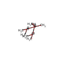 CCCCCCCCCCN(C(=O)CCCNC)C(CCCCCCCCC(=O)OCC(CCCCCC)CCCCCCCC)CCCCCCCCC(=O)OCC(CCCCCC)CCCCCCCC